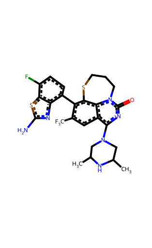 CC1CN(c2nc(=O)n3c4c(c(-c5ccc(F)c6sc(N)nc56)c(C(F)(F)F)cc24)SCCC3)CC(C)N1